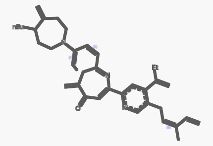 C=C/C(C)=C\Cc1cnc(C2=CC(=O)C(=C)CC(/C=C\C(=C/C)N3CCC(=C)C(CCCC)CC3)=N2)cc1C(=C)CC